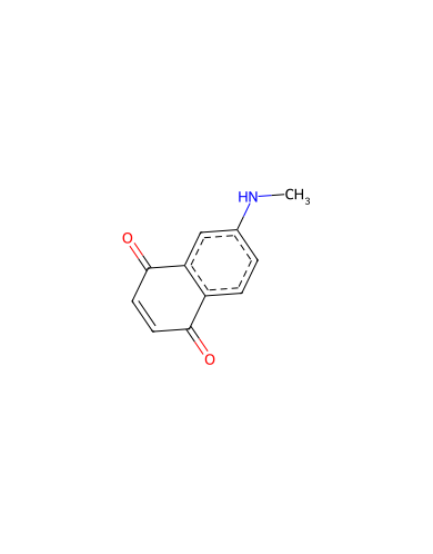 CNc1ccc2c(c1)C(=O)C=CC2=O